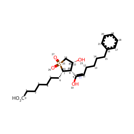 O=C(O)CCCCCC[C@H]1[C@@H](/C(O)=C\CCCCc2ccccc2)[C@@H](O)CS1(=O)=O